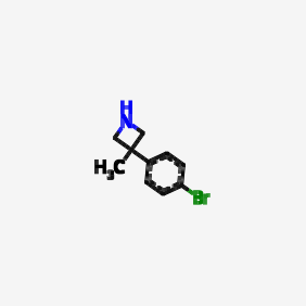 CC1(c2ccc(Br)cc2)CNC1